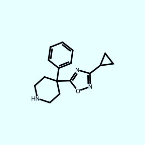 c1ccc(C2(c3nc(C4CC4)no3)CCNCC2)cc1